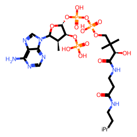 CC(C)CCNC(=O)CCNC(=O)[C@H](O)C(C)(C)COP(=O)(O)OP(=O)(O)O[C@H]1OC(n2cnc3c(N)ncnc32)[C@H](C)[C@@H]1OP(=O)(O)O